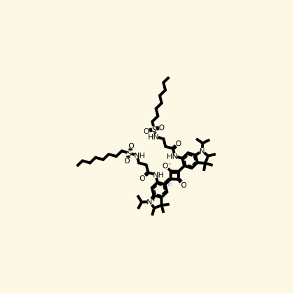 CCCCCCCCS(=O)(=O)NCCC(=O)Nc1cc2c(cc1C1=C([O-])/C(=c3/cc4c(cc3NC(=O)CCNS(=O)(=O)CCCCCCCC)=[N+](C(C)C)C(C)C4(C)C)C1=O)C(C)(C)C(C)N2C(C)C